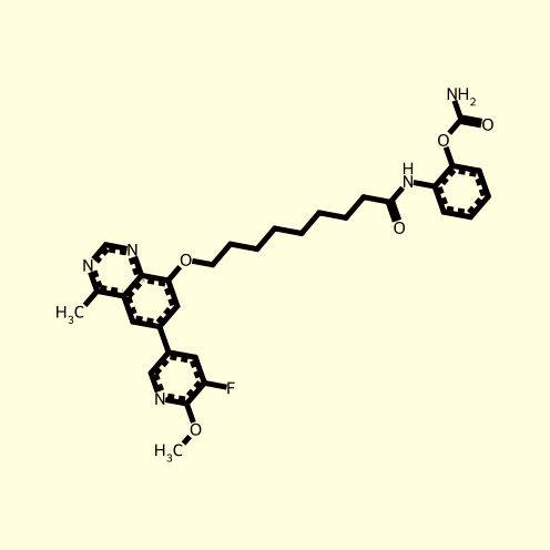 COc1ncc(-c2cc(OCCCCCCCCC(=O)Nc3ccccc3OC(N)=O)c3ncnc(C)c3c2)cc1F